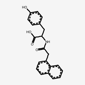 O=C(Cc1cccc2ccccc12)NC(Cc1ccc(O)cc1)C(=O)O